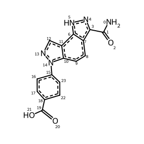 NC(=O)c1n[nH]c2c1ccc1c2cnn1-c1ccc(C(=O)O)cc1